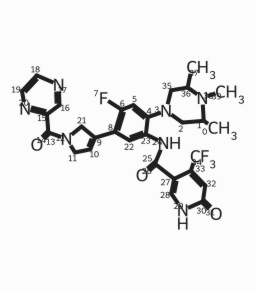 CC1CN(c2cc(F)c(C3=CCN(C(=O)c4cnccn4)C3)cc2NC(=O)c2c[nH]c(=O)cc2C(F)(F)F)CC(C)N1C